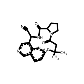 CC(C)(C)CC(=O)N1CCCC1C(=O)NC(C#N)c1cncc2cccnc12